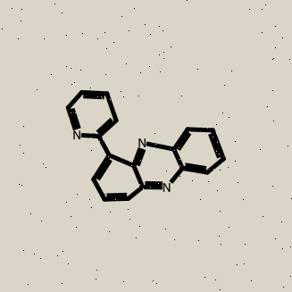 c1ccc(-c2cccc3nc4ccccc4nc23)nc1